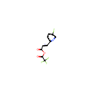 O=C(/C=C/c1ccc(F)cn1)OC(=O)C(F)(F)F